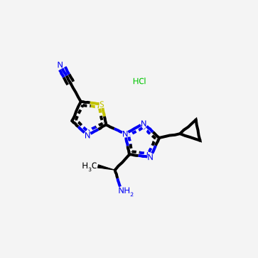 C[C@H](N)c1nc(C2CC2)nn1-c1ncc(C#N)s1.Cl